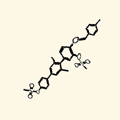 Cc1ccc(COc2ccc(-c3c(C)cc(-c4ccc(OS(C)(=O)=O)cc4)cc3C)cc2OS(C)(=O)=O)cc1